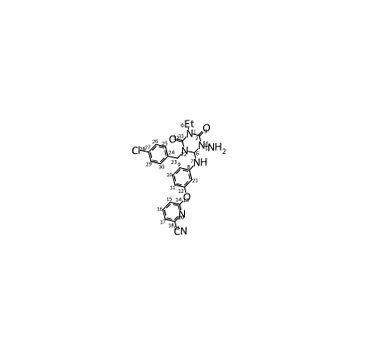 CCN1C(=O)N(N)C(Nc2cccc(Oc3cccc(C#N)n3)c2)N(Cc2ccc(Cl)cc2)C1=O